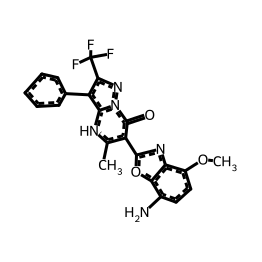 COc1ccc(N)c2oc(-c3c(C)[nH]c4c(-c5ccccc5)c(C(F)(F)F)nn4c3=O)nc12